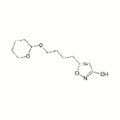 Oc1cc(CCCCOC2CCCCO2)on1